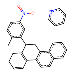 Cc1ccc([N+](=O)[O-])cc1C1Cc2c(ccc3ccccc23)C2=C1CCC=C2.c1ccncc1